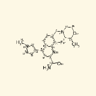 C[C@H]1CN(Cc2ccc3c(-c4cnn(C)c4)cc(C(N)=O)nc3c2F)CCO1